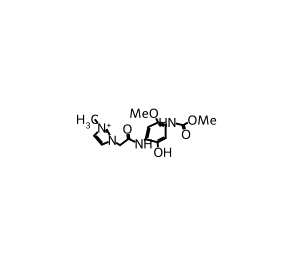 COC(=O)Nc1cc(O)c(NC(=O)Cn2cc[n+](C)c2)cc1OC